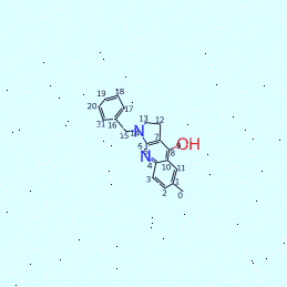 Cc1ccc2nc3c(c(O)c2c1)CCN3Cc1ccccc1